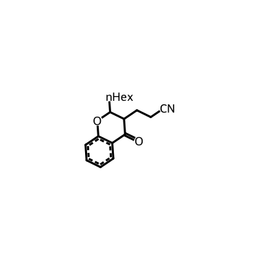 CCCCCCC1Oc2ccccc2C(=O)C1CCC#N